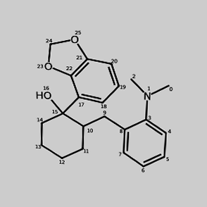 CN(C)c1ccccc1CC1CCCCC1(O)c1cccc2c1OCO2